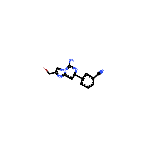 N#Cc1cccc(-c2cc3nc(CBr)cn3c(N)n2)c1